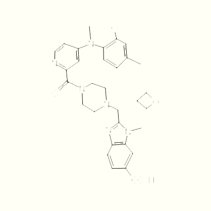 Cc1ccc(N(C)c2ccnc(C(=O)N3CCN(Cc4nc5ccc(C(=O)O)cc5n4C[C@@H]4CCO4)CC3)c2)c(Cl)c1